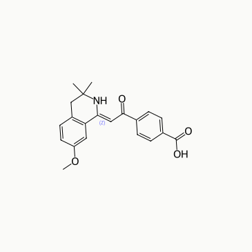 COc1ccc2c(c1)/C(=C/C(=O)c1ccc(C(=O)O)cc1)NC(C)(C)C2